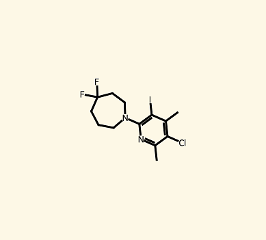 Cc1nc(N2CCCC(F)(F)CC2)c(I)c(C)c1Cl